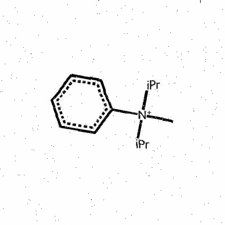 CC(C)[N+](C)(c1ccccc1)C(C)C